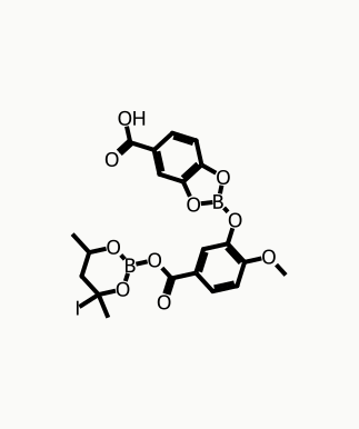 COc1ccc(C(=O)OB2OC(C)CC(C)(I)O2)cc1OB1Oc2ccc(C(=O)O)cc2O1